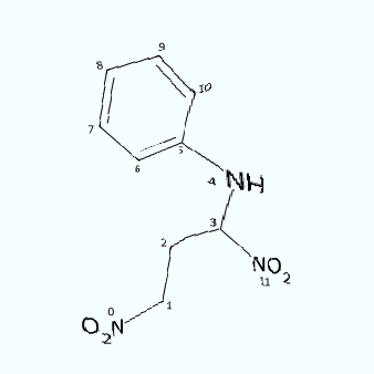 O=[N+]([O-])CCC(Nc1ccccc1)[N+](=O)[O-]